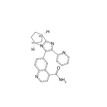 NC(=O)c1ccnc2ccc(-c3c(-c4ccccn4)nc4n3[C@H]3CC[C@@H]4C3)cc12